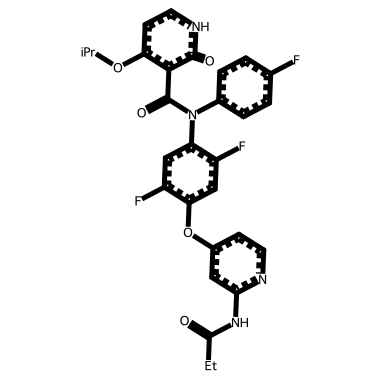 CCC(=O)Nc1cc(Oc2cc(F)c(N(C(=O)c3c(OC(C)C)cc[nH]c3=O)c3ccc(F)cc3)cc2F)ccn1